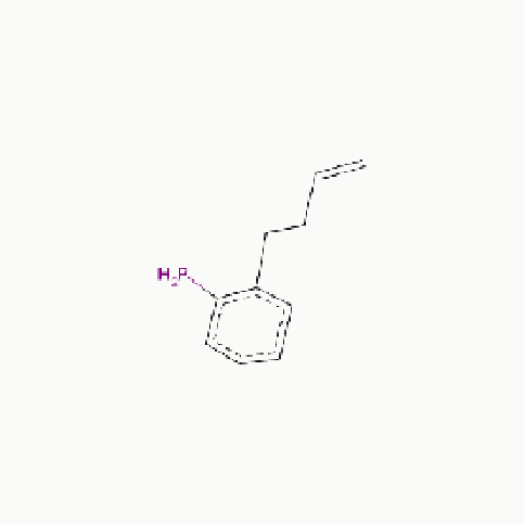 C=CCCc1ccccc1P